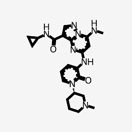 CNc1cc(Nc2cccn([C@H]3CCCN(C)C3)c2=O)nc2c(C(=O)NC3CC3)cnn12